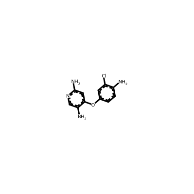 Bc1cnc(N)cc1Oc1ccc(N)c(Cl)c1